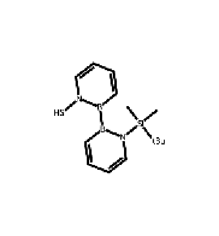 CC(C)(C)[Si](C)(C)N1C=CC=CB1B1C=CC=CN1S